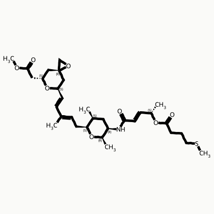 COC(=O)C[C@@H]1C[C@]2(CO2)C[C@@H](C=CC(C)=CC[C@@H]2O[C@H](C)[C@H](NC(=O)C=C[C@H](C)OC(=O)CCCSC)C[C@@H]2C)O1